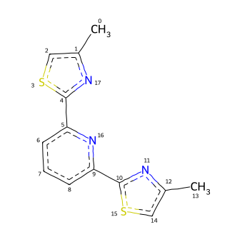 Cc1csc(-c2cccc(-c3nc(C)cs3)n2)n1